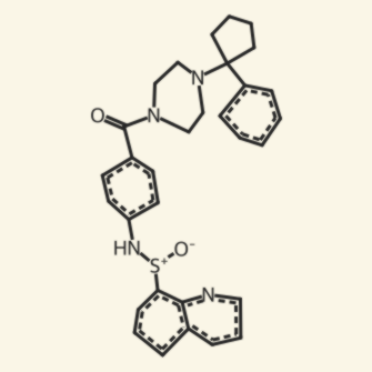 O=C(c1ccc(N[S+]([O-])c2cccc3cccnc23)cc1)N1CCN(C2(c3ccccc3)CCCC2)CC1